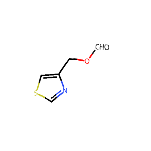 O=COCc1cscn1